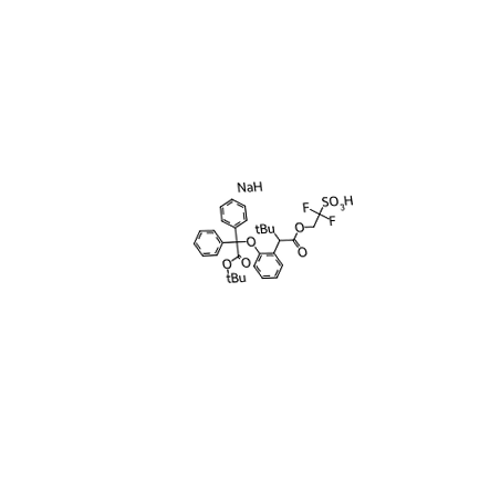 CC(C)(C)OC(=O)C(Oc1ccccc1C(C(=O)OCC(F)(F)S(=O)(=O)O)C(C)(C)C)(c1ccccc1)c1ccccc1.[NaH]